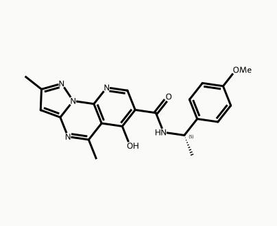 COc1ccc([C@H](C)NC(=O)c2cnc3c(c(C)nc4cc(C)nn43)c2O)cc1